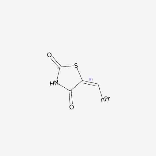 CCC/C=C1/SC(=O)NC1=O